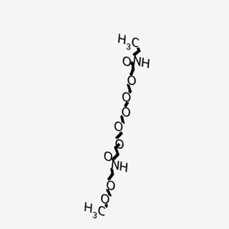 CCCNC(=O)CCOCCOCCOCCOCCOCCC(=O)NCCCOCCOCC